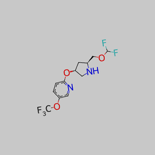 FC(F)OC[C@@H]1C[C@H](Oc2ccc(OC(F)(F)F)cn2)CN1